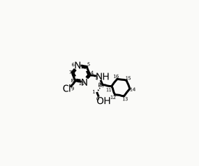 OC[C@H](Nc1cncc(Cl)n1)C1CCCCC1